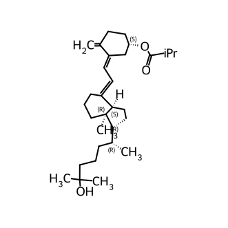 C=C1CC[C@H](OC(=O)C(C)C)CC1=CC=C1CCC[C@@]2(C)[C@@H]1CC[C@@H]2[C@H](C)CCCC(C)(C)O